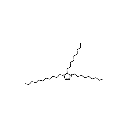 CCCCCCCCCCCN1C=CN(CCCCCCCCC)C1CCCCCCCCC